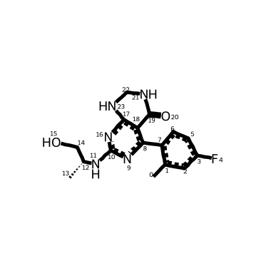 Cc1cc(F)ccc1-c1nc(N[C@H](C)CO)nc2c1C(=O)NCN2